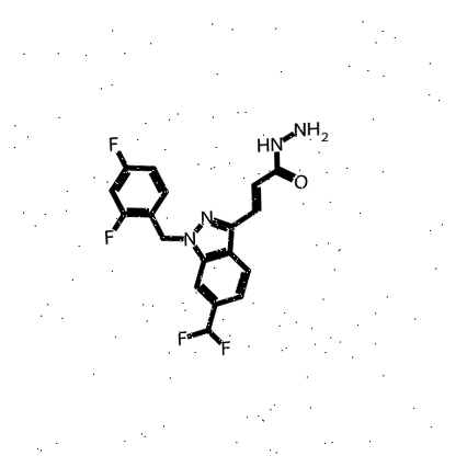 NNC(=O)/C=C/c1nn(Cc2ccc(F)cc2F)c2cc(C(F)F)ccc12